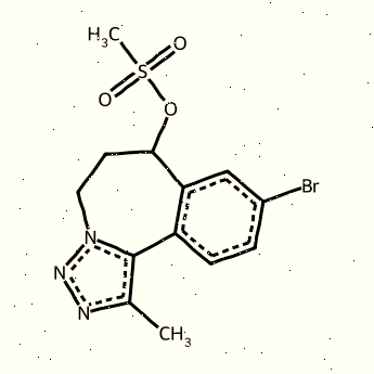 Cc1nnn2c1-c1ccc(Br)cc1C(OS(C)(=O)=O)CC2